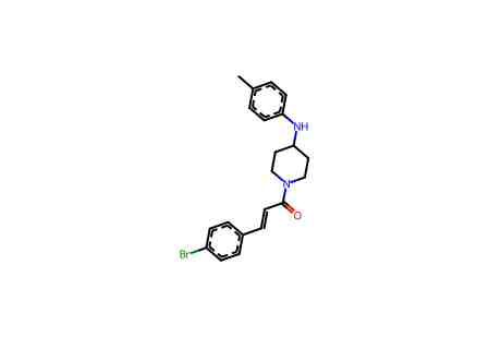 Cc1ccc(NC2CCN(C(=O)/C=C/c3ccc(Br)cc3)CC2)cc1